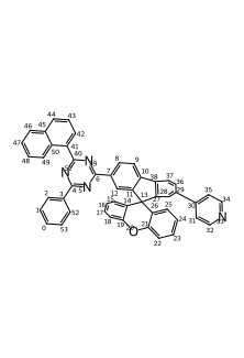 c1ccc(-c2nc(-c3ccc4c(c3)C3(c5ccccc5Oc5ccccc53)c3cc(-c5ccncc5)ccc3-4)nc(-c3cccc4ccccc34)n2)cc1